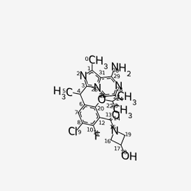 Cc1nc(C(C)c2cc(Cl)c(F)c(C(=O)N3CC(O)C3)c2OC(C)C)n2ccnc(N)c12